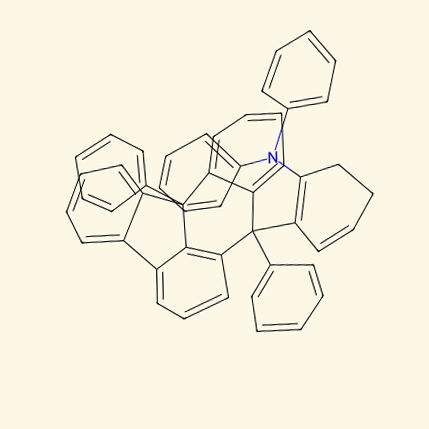 C1=CC(C2(c3ccccc3)c3ccccc3C3(c4ccccc4)c4ccccc4-c4cccc2c43)=C(N(c2ccccc2)c2ccccc2)CC1